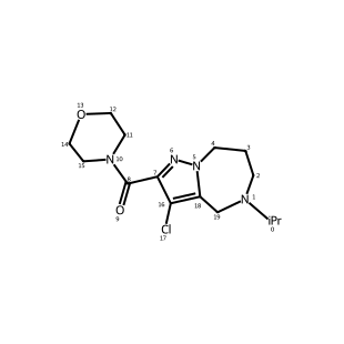 CC(C)N1CCCn2nc(C(=O)N3CCOCC3)c(Cl)c2C1